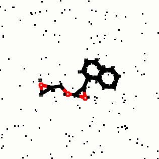 c1ccc2c(C3OC3OCC3CO3)cccc2c1